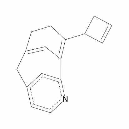 C1=CC(C2=C3C=C(CC2)Cc2ccnc3c2)C1